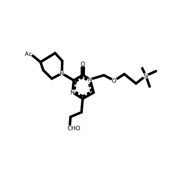 CC(=O)C1CCN(c2nc(CCC=O)cn(COCC[Si](C)(C)C)c2=O)CC1